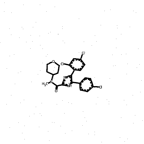 CN(C(=O)c1nc(-c2ccc(Cl)cc2Cl)c(-c2ccc(Cl)cc2)[nH]1)C1CCOCC1